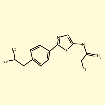 C=C(CCl)Nc1nnc(-c2ccc(CC(CC)CC)cc2)s1